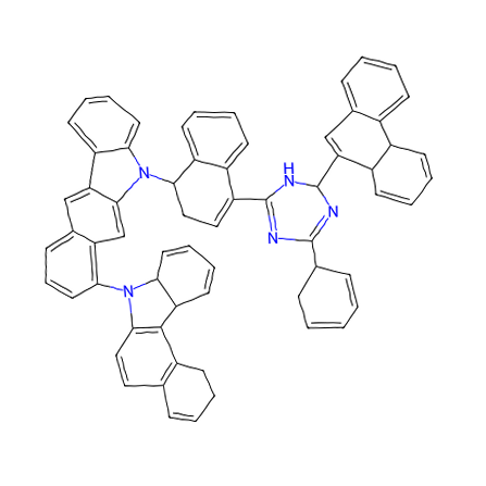 C1=CCC(C2=NC(C3=Cc4ccccc4C4C=CC=CC34)NC(C3=CCC(n4c5ccccc5c5cc6cccc(N7c8ccc9c(c8C8C=CC=CC87)CCC=C9)c6cc54)c4ccccc43)=N2)C=C1